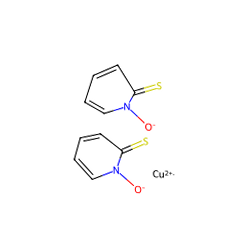 [Cu+2].[O-]n1ccccc1=S.[O-]n1ccccc1=S